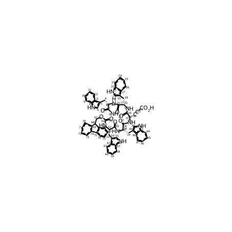 NC(=O)[C@H](Cc1c[nH]c2ccccc12)NC(=O)[C@H](Cc1c[nH]c2ccccc12)NC(=O)[C@H](CCC(=O)O)NC(=O)[C@H](Cc1c[nH]c2ccccc12)NC(=O)[C@H](Cc1c[nH]c2ccccc12)NC(=O)OCC1c2ccccc2-c2ccccc21